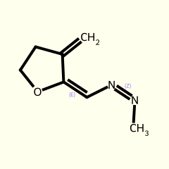 C=C1CCO/C1=C/N=N\C